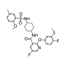 COc1ccc(C)cc1S(=O)(=O)NC1CCC(NC(=O)c2cc(F)cnc2Oc2ccc(F)c(SC)c2)CC1